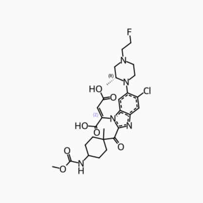 COC(=O)NC1CCC(C)(C(=O)c2nc3cc(Cl)c(N4CCN(CCF)C[C@H]4C)cc3n2/C(=C\C(=O)O)C(=O)O)CC1